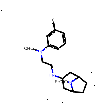 CCOC(=O)N1C2CCC1CC(NCCN(C=O)c1cccc(C)c1)C2